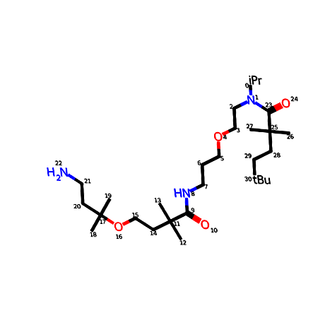 CC(C)N(CCOCCCNC(=O)C(C)(C)CCOC(C)(C)CCN)C(=O)C(C)(C)CCC(C)(C)C